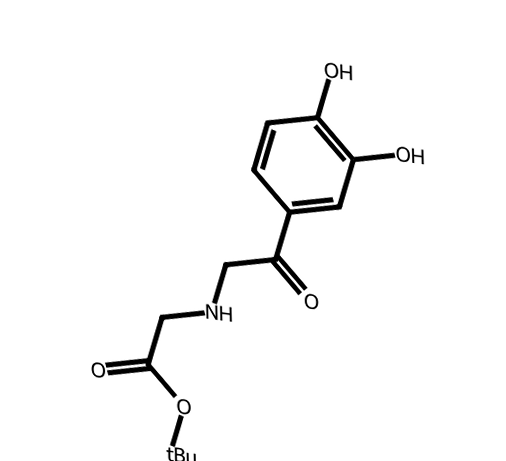 CC(C)(C)OC(=O)CNCC(=O)c1ccc(O)c(O)c1